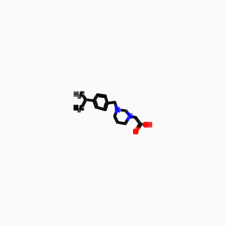 CC(C)c1ccc(CN2CCCN(CC(=O)O)C2)cc1